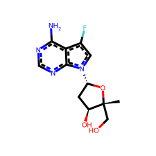 C[C@]1(CO)O[C@@H](n2cc(F)c3c(N)ncnc32)C[C@@H]1O